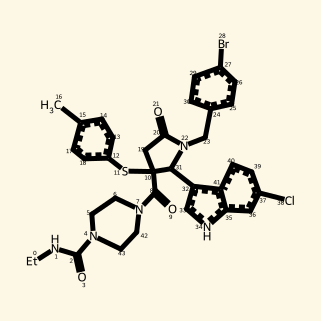 CCNC(=O)N1CCN(C(=O)C2(Sc3ccc(C)cc3)CC(=O)N(Cc3ccc(Br)cc3)C2c2c[nH]c3cc(Cl)ccc23)CC1